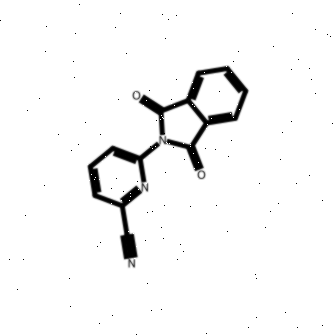 N#Cc1cccc(N2C(=O)c3ccccc3C2=O)n1